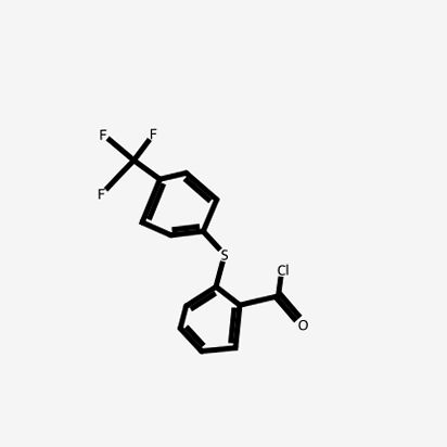 O=C(Cl)c1ccccc1Sc1ccc(C(F)(F)F)cc1